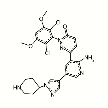 COc1cc(OC)c(Cl)c(-n2nc(-c3cc(-c4cnn(C5CCNCC5)c4)cnc3N)ccc2=O)c1Cl